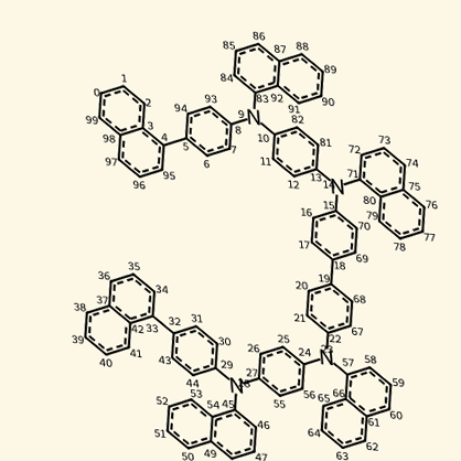 c1ccc2c(-c3ccc(N(c4ccc(N(c5ccc(-c6ccc(N(c7ccc(N(c8ccc(-c9cccc%10ccccc9%10)cc8)c8cccc9ccccc89)cc7)c7cccc8ccccc78)cc6)cc5)c5cccc6ccccc56)cc4)c4cccc5ccccc45)cc3)cccc2c1